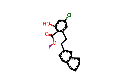 O=C(OI)c1c(O)cc(Cl)cc1CCc1ccc2ccccc2c1